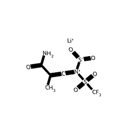 CC(=C=[N+]([S-](=O)=O)S(=O)(=O)C(F)(F)F)C(N)=O.[Li+]